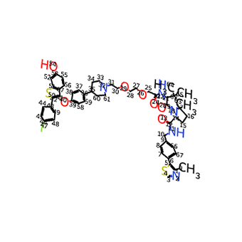 Cc1ncsc1-c1ccc(CNC(=O)[C@@H]2CCCN2C(=O)C(NC(=O)COCCOCCN2CCC(c3ccc(Oc4c(-c5ccc(F)cc5)sc5cc(O)ccc45)cc3)CC2)C(C)(C)C)cc1